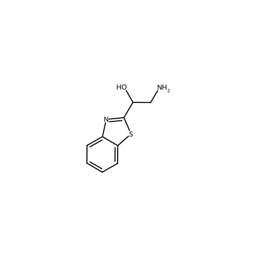 NCC(O)c1nc2ccccc2s1